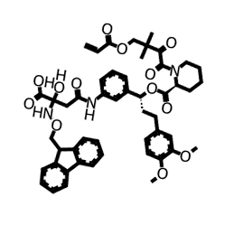 C=CC(=O)OCC(C)(C)C(=O)C(=O)N1CCCC[C@H]1C(=O)O[C@H](CCc1ccc(OC)c(OC)c1)c1cccc(NC(=O)CC(O)(NOCC2c3ccccc3-c3ccccc32)C(=O)O)c1